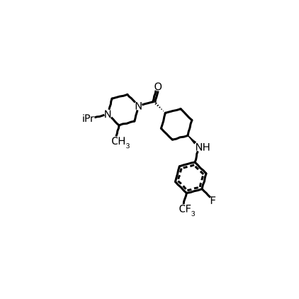 CC(C)N1CCN(C(=O)[C@H]2CC[C@H](Nc3ccc(C(F)(F)F)c(F)c3)CC2)CC1C